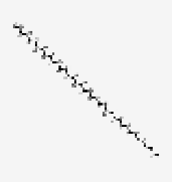 CCCCCCCCCCCCCCCCC[CH]CCCCCCCCCCCCCCCCCCCC